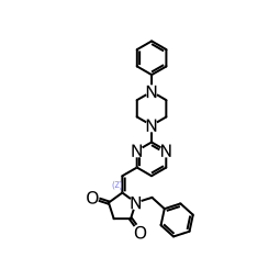 O=C1CC(=O)N(Cc2ccccc2)/C1=C\c1ccnc(N2CCN(c3ccccc3)CC2)n1